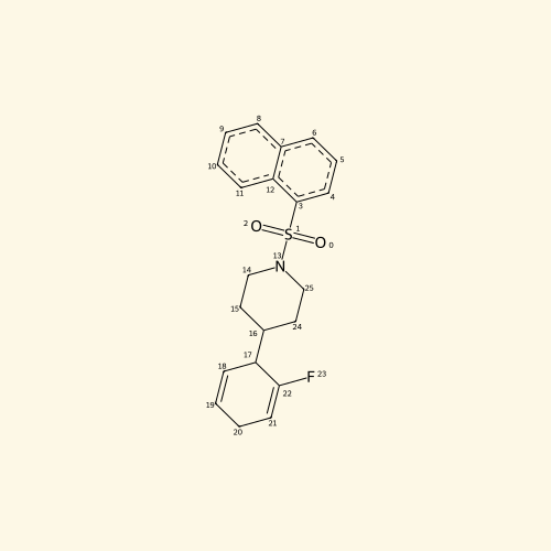 O=S(=O)(c1cccc2ccccc12)N1CCC(C2C=CCC=C2F)CC1